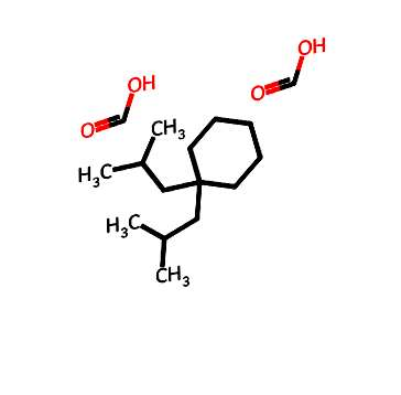 CC(C)CC1(CC(C)C)CCCCC1.O=CO.O=CO